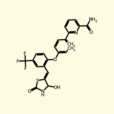 C=C(/C=C\C(=C/C)Oc1ccc(C(F)(F)F)cc1/C=C1\SC(=O)NC1O)c1cccc(C(N)=O)n1